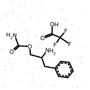 NC(=O)OCC(N)Cc1ccccc1.O=C(O)C(F)(F)F